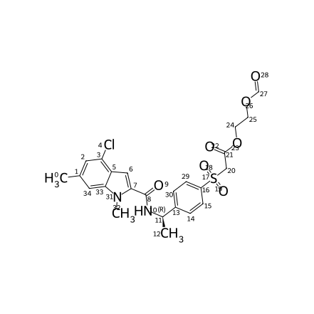 Cc1cc(Cl)c2cc(C(=O)N[C@H](C)c3ccc(S(=O)(=O)CC(=O)OCCOC=O)cc3)n(C)c2c1